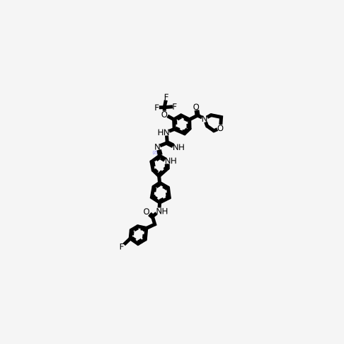 N=C(/N=c1/ccc(-c2ccc(NC(=O)Cc3ccc(F)cc3)cc2)c[nH]1)Nc1ccc(C(=O)N2CCOCC2)cc1OC(F)(F)F